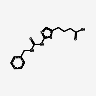 O=C(O)CCCc1csc(NC(=O)NCc2ccccc2)n1